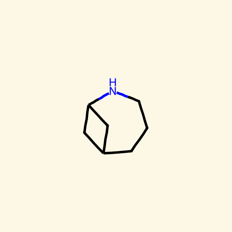 C1CNC2CC(C1)C2